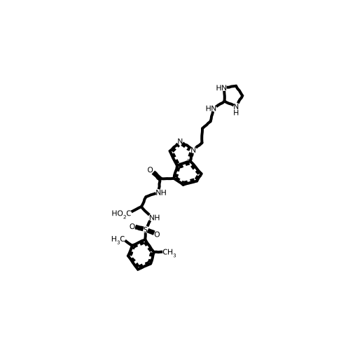 Cc1cccc(C)c1S(=O)(=O)NC(CNC(=O)c1cccc2c1cnn2CCCNC1NCCN1)C(=O)O